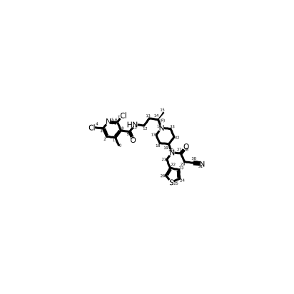 Cc1cc(Cl)nc(Cl)c1C(=O)NCC[C@@H](C)N1CCC(N(Cc2ccsc2)C(=O)CC#N)CC1